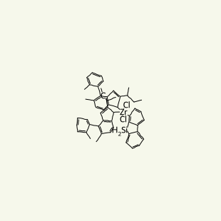 CCC(C)C1=Cc2c(ccc(C)c2-c2ccccc2C)[CH]1[Zr]([Cl])([Cl])([c]1cccc2c1[SiH2]c1ccccc1-2)[CH]1C(C(C)CC)=Cc2c1ccc(C)c2-c1ccccc1C